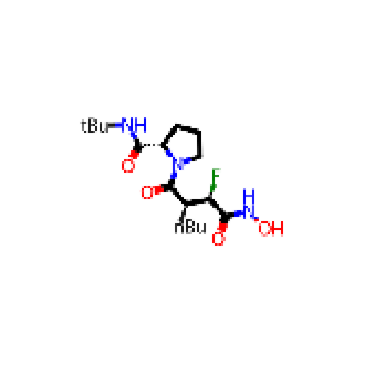 CCCC[C@@H](C(=O)N1CCC[C@H]1C(=O)NC(C)(C)C)[C@@H](F)C(=O)NO